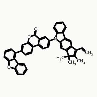 C=CC1=C(C)C(C)(C)c2cc3c(cc21)c1ccccc1n3-c1ccc2c(c1)c(=O)oc1cc(-c3cccc4oc5ccccc5c34)ccc12